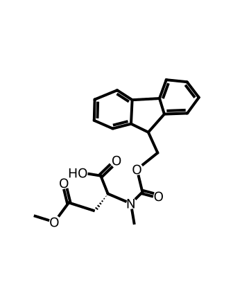 COC(=O)C[C@H](C(=O)O)N(C)C(=O)OCC1c2ccccc2-c2ccccc21